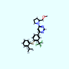 COCC1CCCN1c1cc(-c2ccc(Sc3ccccc3C(C)C)c(C(F)(F)F)c2)ncn1